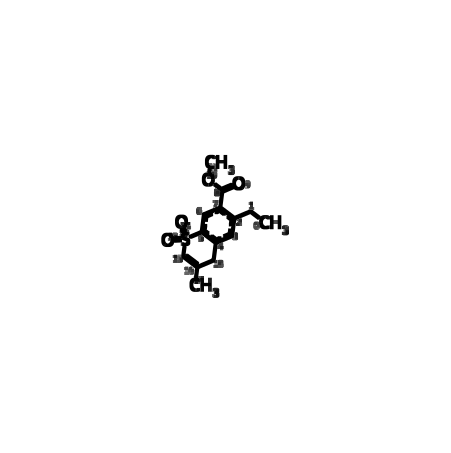 CCc1cc2c(cc1C(=O)OC)S(=O)(=O)C=C(C)C2